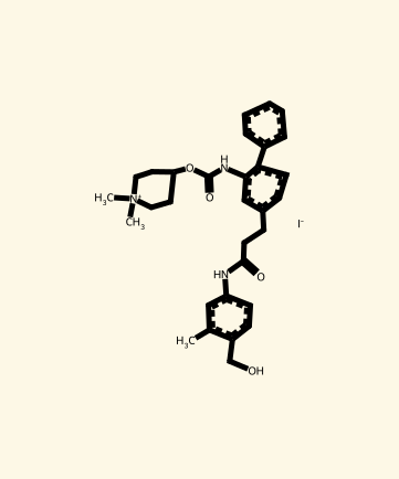 Cc1cc(NC(=O)CCc2ccc(-c3ccccc3)c(NC(=O)OC3CC[N+](C)(C)CC3)c2)ccc1CO.[I-]